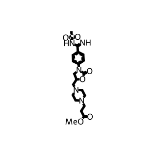 COC(=O)CCN1CCN(CC2CN(c3ccc(C(=N)NS(C)(=O)=O)cc3)C(=O)O2)CC1